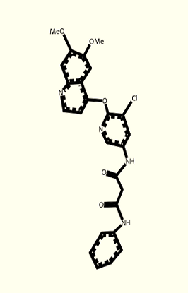 COc1cc2nccc(Oc3ncc(NC(=O)CC(=O)Nc4ccccc4)cc3Cl)c2cc1OC